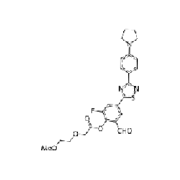 COCCOCC(=O)Oc1c(F)cc(-c2nc(-c3ccc(N4CCCC4)cc3)ns2)cc1C=O